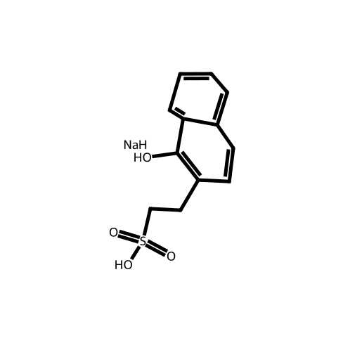 O=S(=O)(O)CCc1ccc2ccccc2c1O.[NaH]